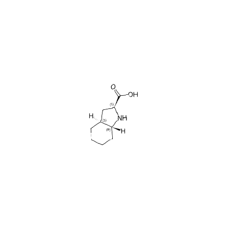 O=C(O)[C@@H]1C[C@@H]2CCCC[C@H]2N1